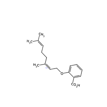 CC(C)=CCC/C(C)=C\COc1ccccc1C(=O)O